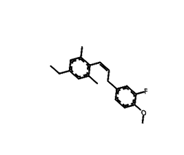 CCc1cc(C)c(/C=C\Cc2ccc(OC)c(F)c2)c(C)c1